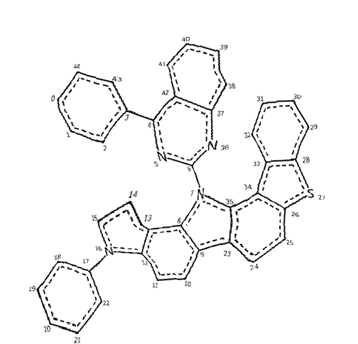 c1ccc(-c2nc(-n3c4c(ccc5c4ccn5-c4ccccc4)c4ccc5sc6ccccc6c5c43)nc3ccccc23)cc1